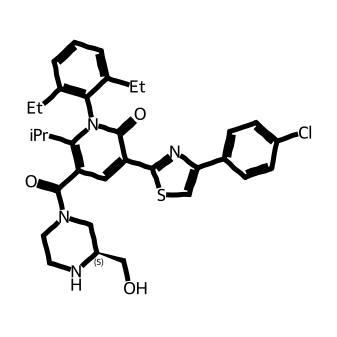 CCc1cccc(CC)c1-n1c(C(C)C)c(C(=O)N2CCN[C@H](CO)C2)cc(-c2nc(-c3ccc(Cl)cc3)cs2)c1=O